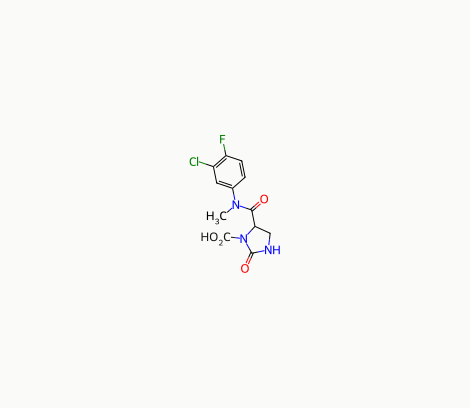 CN(C(=O)C1CNC(=O)N1C(=O)O)c1ccc(F)c(Cl)c1